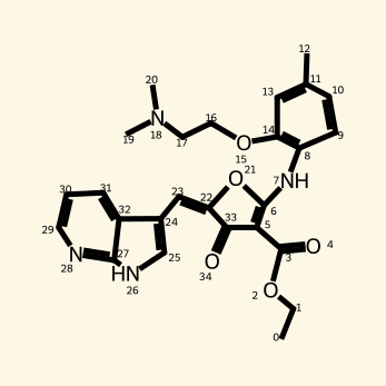 CCOC(=O)C1=C(Nc2ccc(C)cc2OCCN(C)C)OC(=Cc2c[nH]c3ncccc23)C1=O